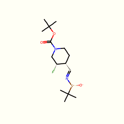 CC(C)(C)OC(=O)N1CC[C@H](/C=N/[S@+]([O-])C(C)(C)C)[C@H](F)C1